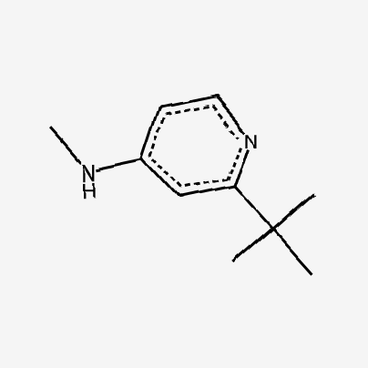 CNc1ccnc(C(C)(C)C)c1